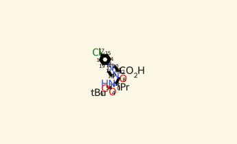 CC(C)[C@H](NC(=O)OC(C)(C)C)C(=O)N1CCN(c2ccc(Cl)cc2)C[C@H]1C(=O)O